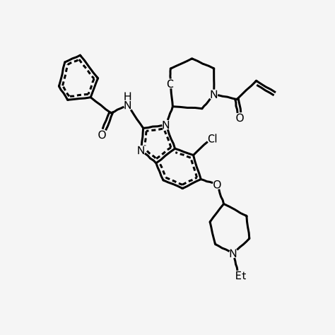 C=CC(=O)N1CCCCC(n2c(NC(=O)c3ccccc3)nc3ccc(OC4CCN(CC)CC4)c(Cl)c32)C1